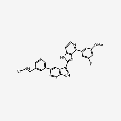 CCNCc1cncc(-c2cnc3[nH]nc(-c4nc5c(-c6cc(F)cc(OC)c6)nccc5[nH]4)c3c2)c1